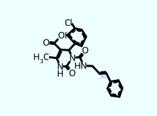 CC1=C(C(=O)O)C(c2cccc(Cl)c2)N(C(=O)NC/C=C/c2ccccc2)C(=O)N1